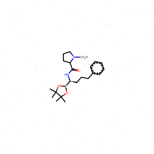 CC1(C)OB([C@H](CCCc2ccccc2)NC(=O)C2CCCN2C(=O)O)OC1(C)C